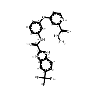 CNC(=O)c1cc(Oc2cccc(NC(=O)c3nc4cc(C(F)(F)F)ccc4[nH]3)c2)ccn1